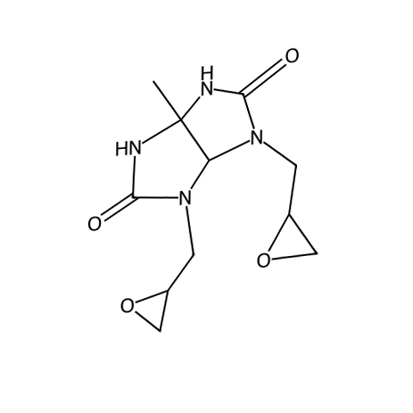 CC12NC(=O)N(CC3CO3)C1N(CC1CO1)C(=O)N2